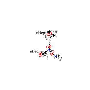 CCCCCCCCCCCOC(=O)C(C)(C)CCCCN1C[C@@H](OC(=O)CCN(C)C)CC1C(=O)OCCCCCCC(C)(C)C(=O)OC(CCCCCCC)CCCCCCC